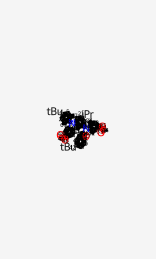 Cc1cc(C(C)(C)C)cc(C)c1N1c2cc3c(cc2B2c4c1cc(C(C)C)cc4N(c1c(C)cc4c(c1C)OCO4)c1oc4ccc(C(C)(C)C)cc4c12)OCO3